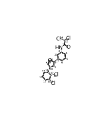 O=C(Nc1cccc(-c2cc(-c3cccc(Cl)c3Cl)no2)c1)C(Cl)Cl